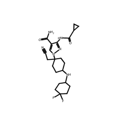 N#CCC1(n2cc(C(N)=O)c(NC(=O)C3CC3)n2)CCC(NC2CCC(F)(F)CC2)CC1